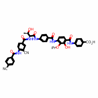 CC(C)Oc1c(NC(=O)c2ccc(NC(=O)[C@@H](NC(=O)c3ccc(NC(=O)c4ccc(C#N)cc4)c(C#N)c3)[C@@H](C)O)cc2)ccc(C(=O)Nc2ccc(C(=O)O)cc2)c1O